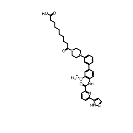 COc1cc(-c2cccc(N3CCN(C(=O)CCCCCCCCC(=O)O)CC3)c2)ccc1NC(=O)c1cccc(-c2ccn[nH]2)n1